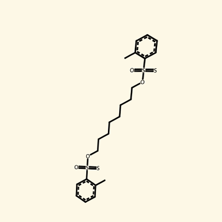 Cc1ccccc1S(=O)(=S)OCCCCCCCCOS(=O)(=S)c1ccccc1C